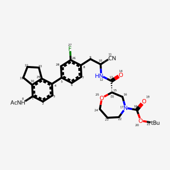 CC(=O)Nc1ccc(-c2ccc(CC(C#N)NC(=O)[C@@H]3CN(C(=O)OC(C)(C)C)CCCO3)c(F)c2)c2c1CCC2